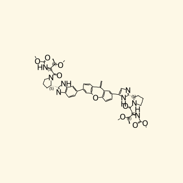 C=C1c2ccc(-c3ccc4nc([C@@H]5CCCN5C(=O)[C@@H](NC(=O)OC)[C@@H](C)OC)[nH]c4c3)cc2Oc2ccc(-c3cnc([C@@H]4CCCN4C(=O)[C@@H](NC(=O)OC)[C@@H](C)OC)[nH]3)cc21